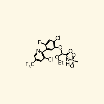 CCOC(Oc1cc(-c2ncc(C(F)(F)F)cc2Cl)c(F)cc1Cl)C(=O)NS(C)(=O)=O